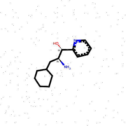 N[C@@H](CC1CCCCC1)[C@H](O)c1ccccn1